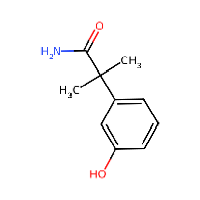 CC(C)(C(N)=O)c1cccc(O)c1